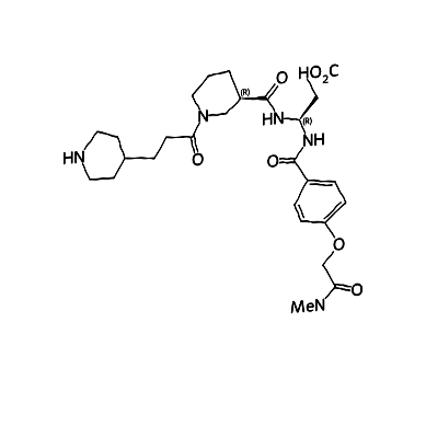 CNC(=O)COc1ccc(C(=O)N[C@H](CC(=O)O)NC(=O)[C@@H]2CCCN(C(=O)CCC3CCNCC3)C2)cc1